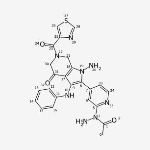 CC(=O)N(N)c1cc(-c2c(Nc3ccccc3)c3c(n2N)CN(C(=O)c2cscn2)CC3=O)ccn1